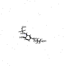 CC(C)(CO)N/C=C1/C=C(BOC(C)(C)C(C)(C)O)C=CC1=N